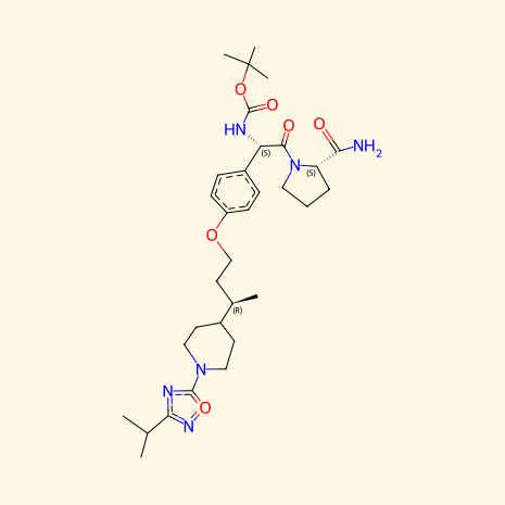 CC(C)c1noc(N2CCC([C@H](C)CCOc3ccc([C@H](NC(=O)OC(C)(C)C)C(=O)N4CCC[C@H]4C(N)=O)cc3)CC2)n1